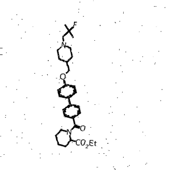 CCOC(=O)C1CCCCN1C(=O)c1ccc(-c2ccc(OCC3CCN(CC(C)(C)F)CC3)cc2)cc1